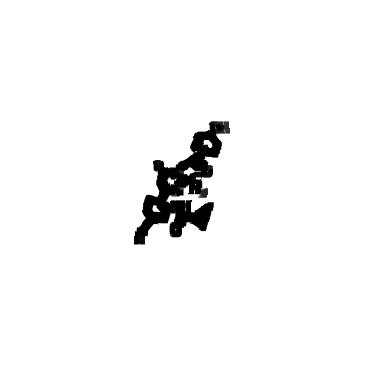 Cc1nc(-c2ccc(C#N)cc2NC(=O)C2CC2)cc(=O)n1CC(=O)N1CCC(O)CC1